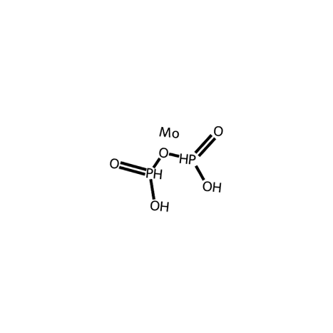 O=[PH](O)O[PH](=O)O.[Mo]